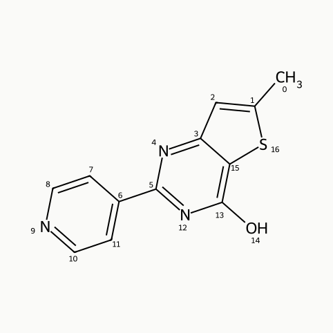 Cc1cc2nc(-c3ccncc3)nc(O)c2s1